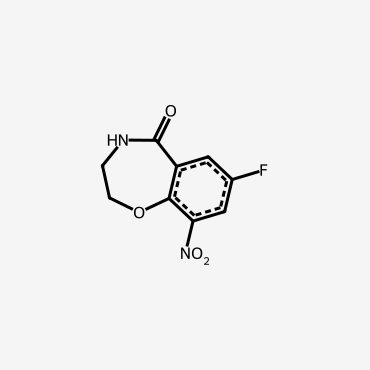 O=C1NCCOc2c1cc(F)cc2[N+](=O)[O-]